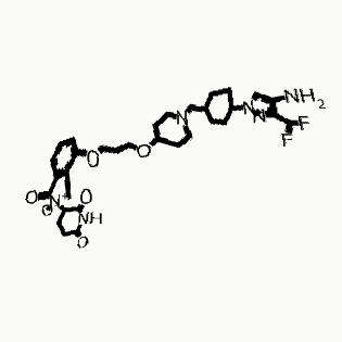 Nc1cn(C2CCC(CN3CCC(OCCCOc4cccc5c4C[N+]([O-])(C4CCC(=O)NC4=O)C5=O)CC3)CC2)nc1C(F)F